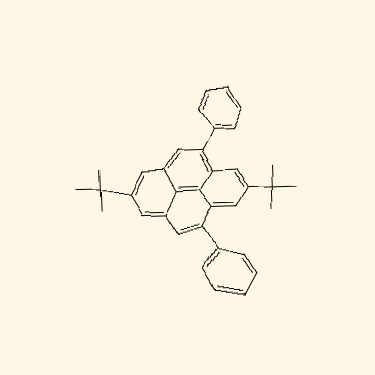 CC(C)(C)c1cc2cc(-c3ccccc3)c3cc(C(C)(C)C)cc4c(-c5ccccc5)cc(c1)c2c34